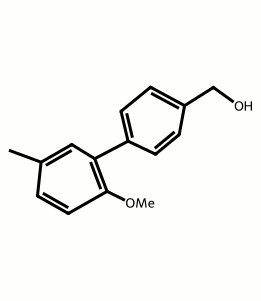 COc1ccc(C)cc1-c1ccc(CO)cc1